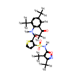 [2H]c1c(C([2H])([2H])[2H])cc(C([2H])([2H])[2H])c(N([2H])C(=O)c2sccc2S(=O)(=O)N([2H])c2onc(C([2H])([2H])[2H])c2C([2H])([2H])[2H])c1C(=O)C([2H])([2H])[2H]